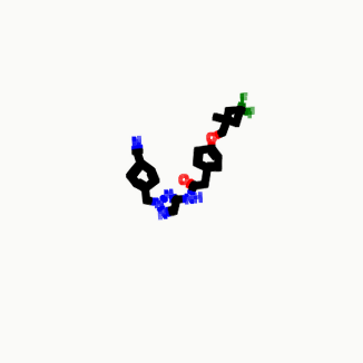 CC1(COc2ccc(CC(=O)Nc3cnn(Cc4ccc(C#N)cc4)n3)cc2)CC(F)(F)C1